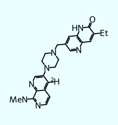 [2H]c1c(N2CCN(Cc3cnc4cc(CC)c(=O)[nH]c4c3)CC2)cnc2c(NC)nccc12